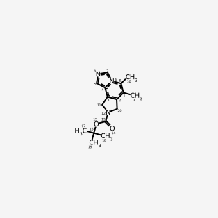 Cc1c2c(c3cncn3c1C)CN(C(=O)OC(C)(C)C)C2